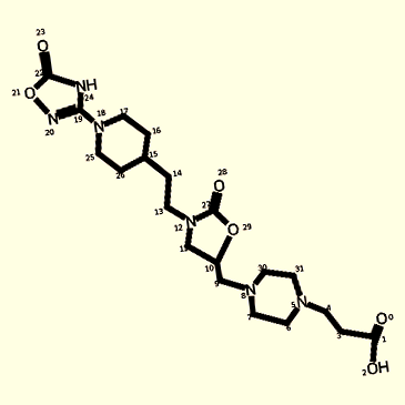 O=C(O)CCN1CCN(CC2CN(CCC3CCN(c4noc(=O)[nH]4)CC3)C(=O)O2)CC1